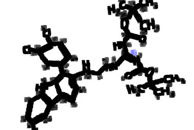 CC(C)(C)OC(=O)/N=C(\NCCNc1ccc2c([nH]c3ccc(Cl)cc32)c1-c1ccc(Cl)c(Cl)c1)NC(=O)OC(C)(C)C